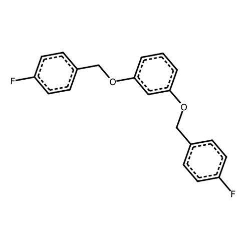 Fc1ccc(COc2cccc(OCc3ccc(F)cc3)c2)cc1